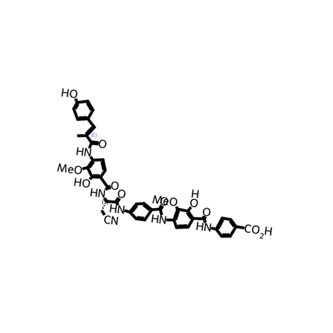 COc1c(NC(=O)/C(C)=C/c2ccc(O)cc2)ccc(C(=O)N[C@@H](CC#N)C(=O)Nc2ccc(C(=O)Nc3ccc(C(=O)Nc4ccc(C(=O)O)cc4)c(O)c3OC)cc2)c1O